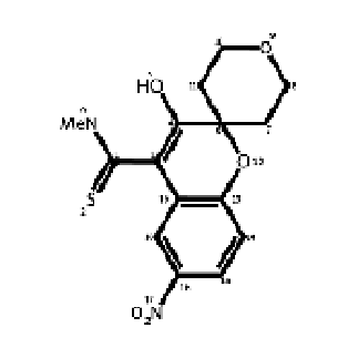 CNC(=S)C1=C(O)C2(CCOCC2)Oc2ccc([N+](=O)[O-])cc21